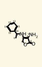 CC(NC1=C(N)C(=O)OC1)c1ccccc1